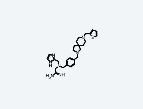 N=C(N)CN(Cc1ccc(CN2CCC3(CCN(Cc4cccs4)CC3)C2)cc1)Cc1ncc[nH]1